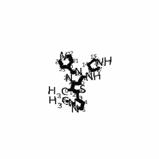 Cc1c(-c2ccnn2C)sc2c(N[C@@H]3CCNC3)nc(-c3ccncc3)nc12